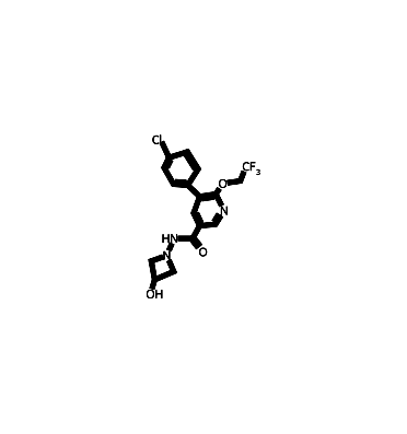 O=C(NN1CC(O)C1)c1cnc(OCC(F)(F)F)c(-c2ccc(Cl)cc2)c1